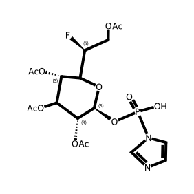 CC(=O)OC[C@H](F)C1O[C@@H](OP(=O)(O)n2ccnc2)[C@H](OC(C)=O)C(OC(C)=O)[C@@H]1OC(C)=O